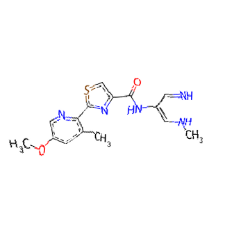 CN/C=C(\C=N)NC(=O)c1csc(-c2ncc(OC)cc2C)n1